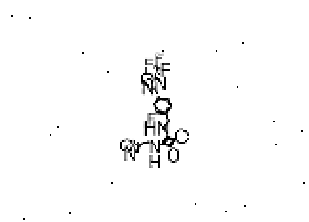 O=c1c(NCc2cnoc2)c(NCc2ccc(-c3noc(C(F)(F)F)n3)cc2F)c1=O